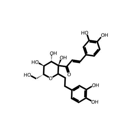 O=C(C=Cc1ccc(O)c(O)c1)[C@]1(O)C(CCc2ccc(O)c(O)c2)O[C@H](CO)[C@@H](O)[C@@H]1O